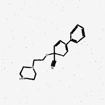 N#CC1(OCCN2CCNCC2)C=CC(c2ccccc2)=CC1